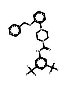 O=C(Nc1cc(C(F)(F)F)cc(C(F)(F)F)c1)N1CCN(c2ccccc2OCc2ccncc2)CC1